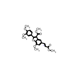 COC(=O)/C=C/c1cc(OC)c2oc(-c3ccc(OC)c(OC)c3)c(C(=O)OC)c2c1